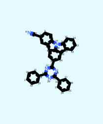 N#Cc1ccc2c(c1)c1cc(-c3nc(-c4ccccc4)nc(-c4ccccc4)n3)cc3c4ccccc4n2c31